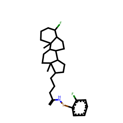 C=C(CCCC1CCC2C3CCC4C(F)CCCC4(C)C3CCC12C)NSc1ccccc1F